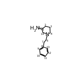 N[C@H]1CCCN(CCc2ccccc2)C1